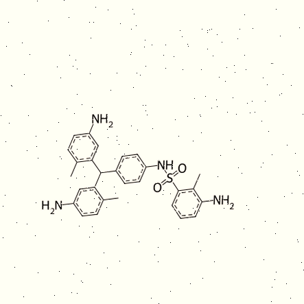 Cc1ccc(N)cc1C(c1ccc(NS(=O)(=O)c2cccc(N)c2C)cc1)c1cc(N)ccc1C